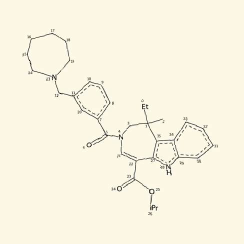 CCC1(C)CN(C(=O)c2cccc(CN3CCCCCC3)c2)C=C(C(=O)OC(C)C)c2[nH]c3ccccc3c21